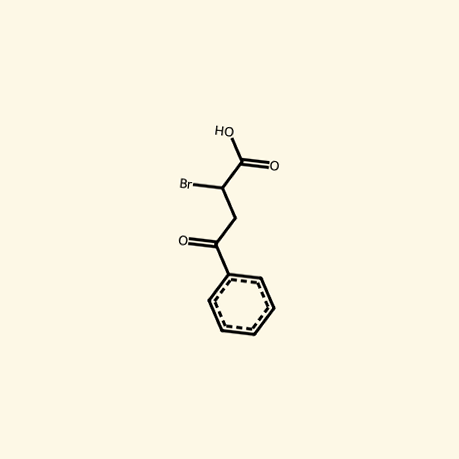 O=C(CC(Br)C(=O)O)c1ccccc1